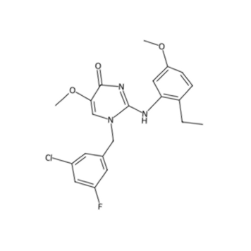 CCc1ccc(OC)cc1Nc1nc(=O)c(OC)cn1Cc1cc(F)cc(Cl)c1